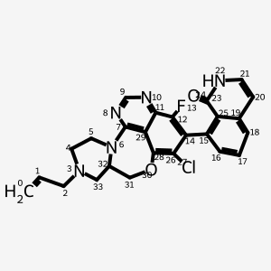 C=CCN1CCN2c3ncnc4c(F)c(-c5cccc6cc[nH]c(=O)c56)c(Cl)c(c34)OCC2C1